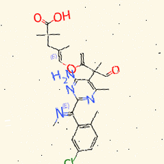 C=C(O/C=C(\C)CC(C)(C)C(=O)O)C(C)(C=O)c1c(C)nc(/C(=N/C)c2cc(Cl)ccc2C)nc1N